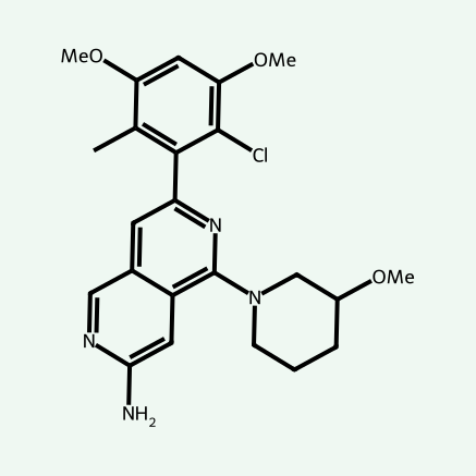 COc1cc(OC)c(Cl)c(-c2cc3cnc(N)cc3c(N3CCCC(OC)C3)n2)c1C